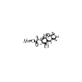 COC(=O)C(C)c1ccc(C[C@@H]2CCC[C@H]2O)c(Cl)c1